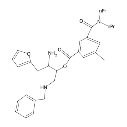 CCCN(CCC)C(=O)c1cc(C)cc(C(=O)OC(CNCc2ccccc2)C(N)Cc2ccco2)c1